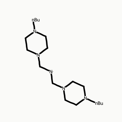 CCCCN1CCN(C[N]CN2CCN(CCCC)CC2)CC1